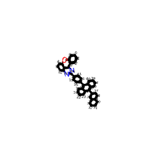 c1ccc2c(c1)Oc1cccc3nc(-c4ccc(-c5c6ccccc6c(-c6ccc7ccccc7c6)c6ccccc56)cc4)nc-2c13